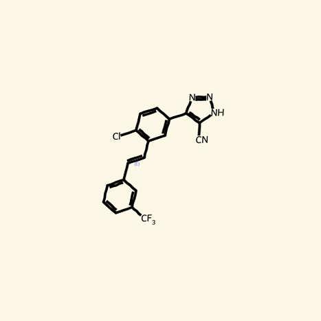 N#Cc1[nH]nnc1-c1ccc(Cl)c(/C=C/c2cccc(C(F)(F)F)c2)c1